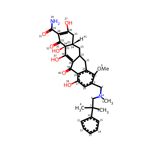 COc1c(CN(C)CC(C)(C)c2ccccc2)cc(O)c2c1CC1C[C@H]3CC(O)=C(C(N)=O)C(=O)[C@@]3(O)C(O)=C1C2=O